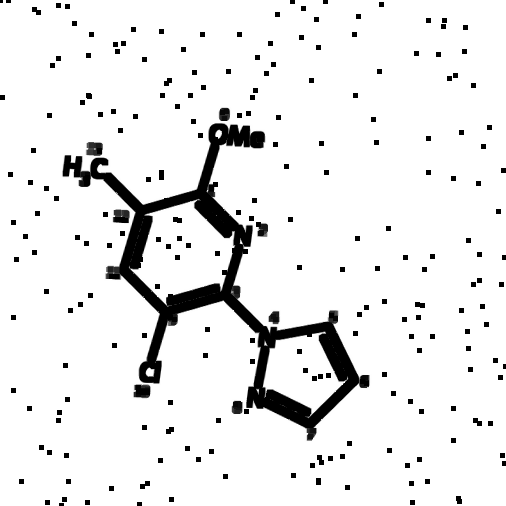 COc1nc(-n2cccn2)c(Cl)cc1C